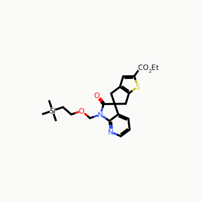 CCOC(=O)c1cc2c(s1)CC1(C2)C(=O)N(COCC[Si](C)(C)C)c2ncccc21